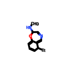 CCC1C=CC=C2OC(NC=O)C=NC=C21